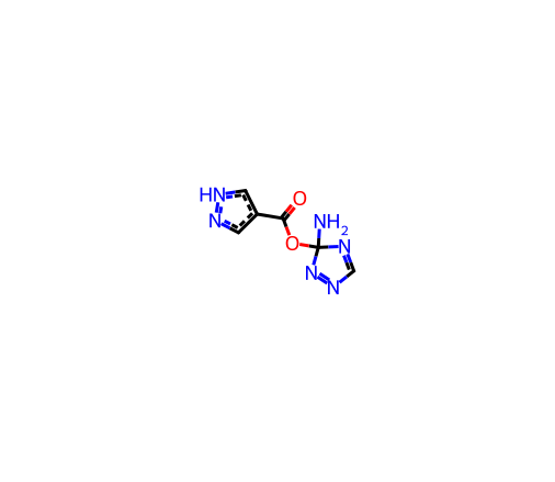 NC1(OC(=O)c2cn[nH]c2)N=CN=N1